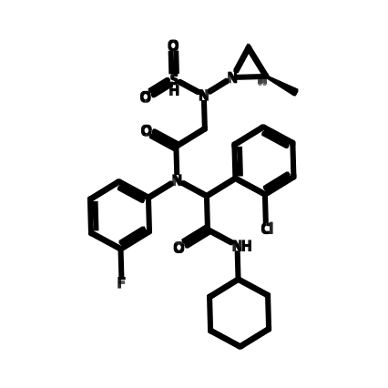 C[C@@H]1CN1N(CC(=O)N(c1cccc(F)c1)C(C(=O)NC1CCCCC1)c1ccccc1Cl)[SH](=O)=O